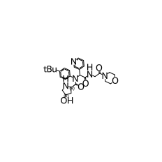 CC(C)(C)c1ccc(N(C(=O)[C@H]2C[C@@H](O)CN2)C(C(=O)NCC(=O)N2CCOCC2)c2cccnc2)cc1